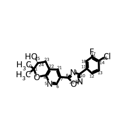 CC1(C)Oc2ncc(-c3nc(-c4ccc(Cl)c(F)c4)no3)cc2C[C@H]1O